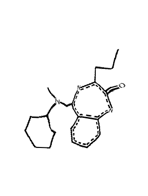 CCCc1nc(N(C)C2CCCCC2)c2ccccc2nc1=O